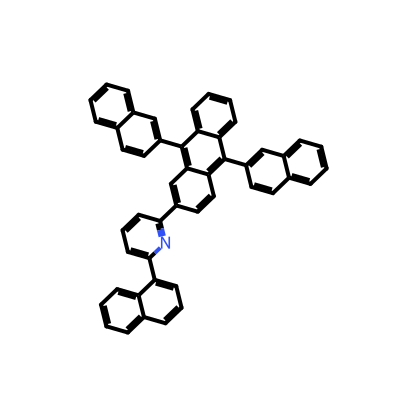 c1cc(-c2ccc3c(-c4ccc5ccccc5c4)c4ccccc4c(-c4ccc5ccccc5c4)c3c2)nc(-c2cccc3ccccc23)c1